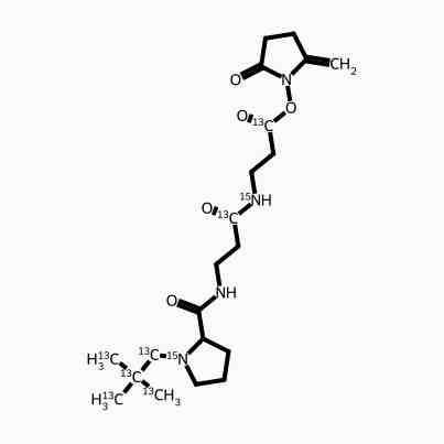 C=C1CCC(=O)N1O[13C](=O)CC[15NH][13C](=O)CCNC(=O)C1CCC[15N]1[13CH2][13C]([13CH3])([13CH3])[13CH3]